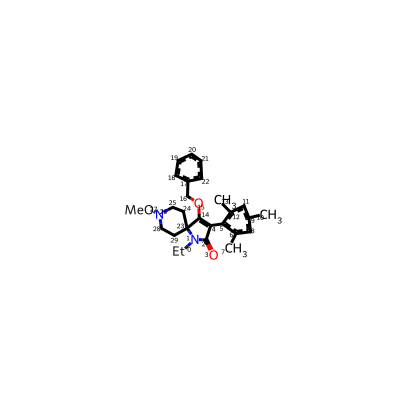 CCN1C(=O)C(c2c(C)cc(C)cc2C)=C(OCc2ccccc2)C12CCN(OC)CC2